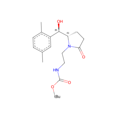 Cc1ccc(C)c([C@@H](O)[C@@H]2CCC(=O)N2CCNC(=O)OC(C)(C)C)c1